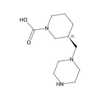 O=C(O)N1CCC[C@@H](CN2CCNCC2)C1